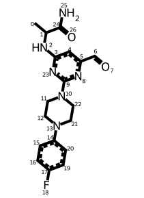 CC(Nc1cc(C=O)nc(N2CCN(c3ccc(F)cc3)CC2)n1)C(N)=O